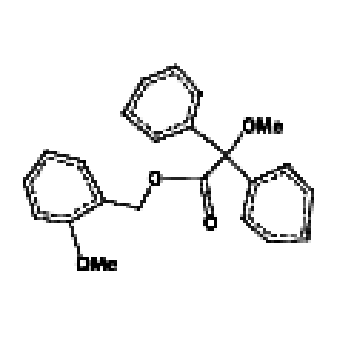 COc1ccccc1COC(=O)C(OC)(c1ccccc1)c1ccccc1